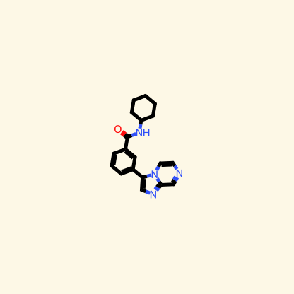 O=C(NC1CCCCC1)c1cccc(-c2cnc3cnccn23)c1